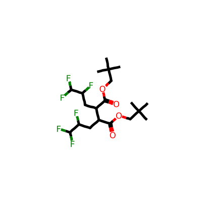 CC(C)(C)COC(=O)C(CC(F)C(F)F)C(CC(F)C(F)F)C(=O)OCC(C)(C)C